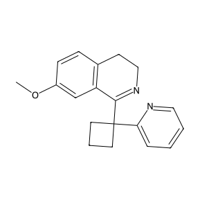 COc1ccc2c(c1)C(C1(c3ccccn3)CCC1)=NCC2